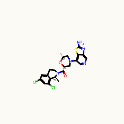 C[C@@H]1CN(c2cncc3nc(N)sc23)C[C@H](C(=O)N2CCc3cc(Cl)cc(Cl)c3[C@@H]2C)O1